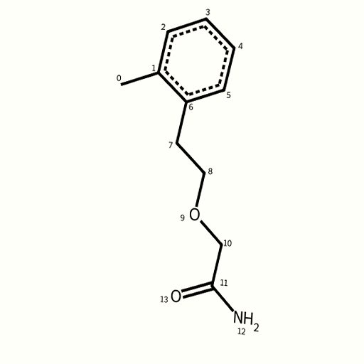 Cc1ccccc1CCOCC(N)=O